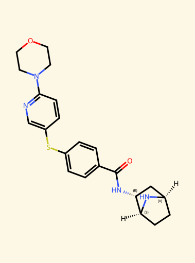 O=C(N[C@@H]1C[C@H]2CC[C@@H]1N2)c1ccc(Sc2ccc(N3CCOCC3)nc2)cc1